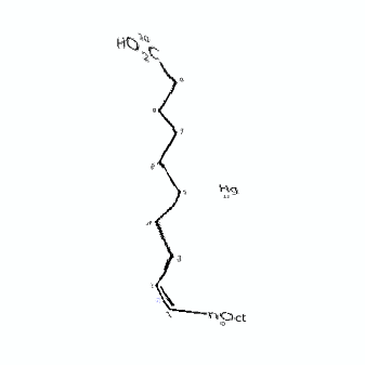 CCCCCCCC/C=C\CCCCCCCC(=O)O.[Hg]